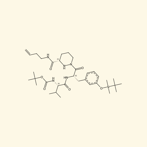 C=CCCNC(=O)[C@@H]1CCCN(C(=O)[C@H](Cc2cccc(O[Si](C)(C)C(C)(C)C)c2)NC(=O)[C@@H](NC(=O)OC(C)(C)C)C(C)C)N1